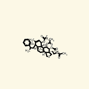 CC(=O)OCC[C@]12COC[C@H]1[C@]1(C)CC[C@@H]3[C@@](C)(C1[C@H](OC(C)=O)[C@@H]2OC(C)=O)[C@H](OC(C)=O)C=C(C)[C@]3(O)CC(C)c1ccccc1